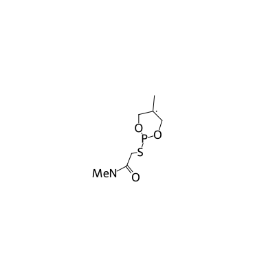 CNC(=O)CSP1OC[C](C)CO1